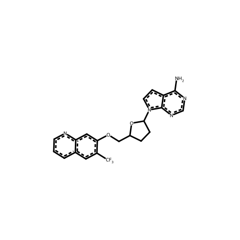 Nc1ncnc2c1ccn2C1CCC(COc2cc3ncccc3cc2C(F)(F)F)O1